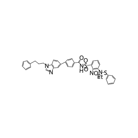 CCN(Sc1ccccc1)c1cccc(S(=O)(=O)NC(=O)c2ccc(-c3ccc4c(c3)ncn4CCCc3ccccc3)cc2)c1[N+](=O)[O-]